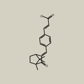 CC12CCC(C(=Cc3ccc(C=CC(=O)Cl)cc3)C1=O)C2(C)C